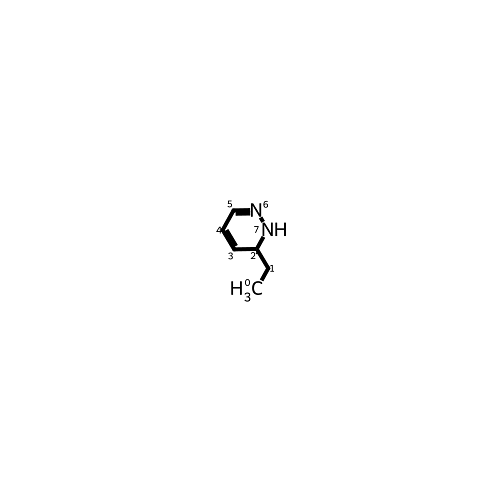 CC[C]1C=CC=NN1